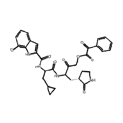 O=C(OCC(=O)C(C[C@@H]1CCNC1=O)NC(=O)C(CC1CC1)NC(=O)c1cc2cccc(Cl)c2[nH]1)C(=O)c1ccccc1